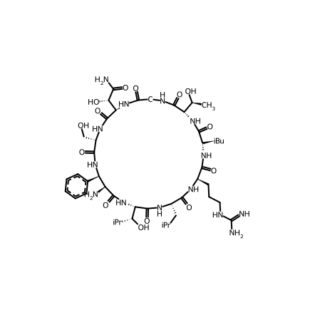 CC[C@H](C)[C@@H]1NC(=O)[C@@H](CCCNC(=N)N)NC(=O)[C@H](CC(C)C)NC(=O)[C@H]([C@H](O)C(C)C)NC(=O)[C@@H](N)[C@@H](c2ccccc2)NC(=O)[C@H](CO)NC(=O)[C@H]([C@H](O)C(N)=O)NC(=O)CNC(=O)[C@H]([C@H](C)O)NC1=O